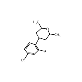 CCc1ccc(N2CC(C)OC(C)C2)c(F)c1